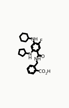 O=C(O)c1ccccc1CNC(=O)c1cc(F)c(NC2CCCCC2)cc1NC1CCCC1